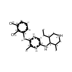 CCC1CNCC(C)C1Nc1cnc(Sc2cccc(Cl)c2Cl)c(C)n1